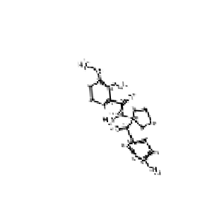 COc1cccc(C(=O)N(N)C2(C(=O)c3ccc(C)cc3)CCCC2)c1C